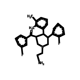 Cc1cccc(C2C(C(=O)c3cccc(F)c3)CN(CCN)CC2c2[c]cccc2F)c1C